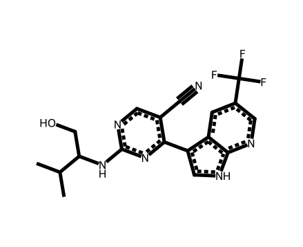 CC(C)C(CO)Nc1ncc(C#N)c(-c2c[nH]c3ncc(C(F)(F)F)cc23)n1